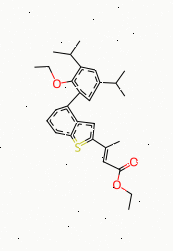 CCOC(=O)/C=C(\C)c1cc2c(-c3cc(C(C)C)cc(C(C)C)c3OCC)cccc2s1